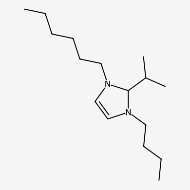 CCCCCCN1C=CN(CCCC)C1C(C)C